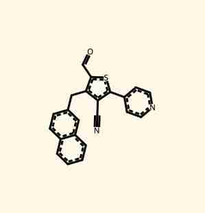 N#Cc1c(-c2ccncc2)sc(C=O)c1Cc1ccc2ccccc2c1